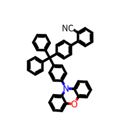 N#Cc1ccccc1-c1ccc(C(c2ccccc2)(c2ccccc2)c2ccc(N3c4ccccc4Oc4ccccc43)cc2)cc1